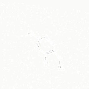 [CH2]c1ccc(CN)c(C)c1